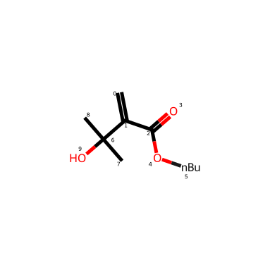 C=C(C(=O)OCCCC)C(C)(C)O